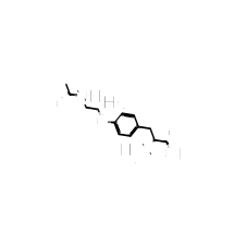 CC(=O)NCCOc1ccc(CC(N)C(=O)O)cc1.Cl